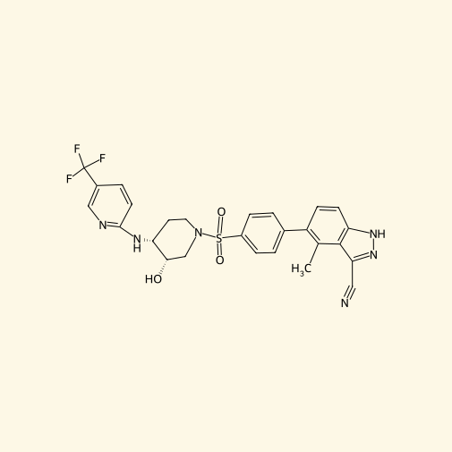 Cc1c(-c2ccc(S(=O)(=O)N3CC[C@@H](Nc4ccc(C(F)(F)F)cn4)[C@@H](O)C3)cc2)ccc2[nH]nc(C#N)c12